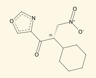 O=C(c1cocn1)[C@H](C[N+](=O)[O-])C1CCCCC1